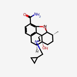 C[C@@H]1CC[C@@]2(O)[C@H]3Cc4ccc(C(N)=O)c5c4[C@@]2(CCN3CC2CC2)[C@H]1O5